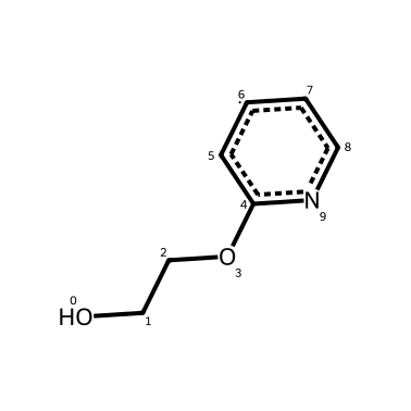 OCCOc1c[c]ccn1